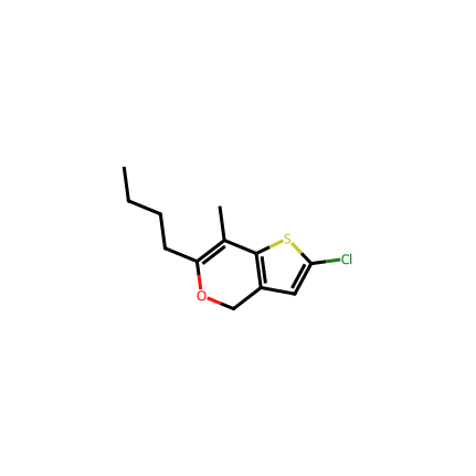 CCCCC1=C(C)c2sc(Cl)cc2CO1